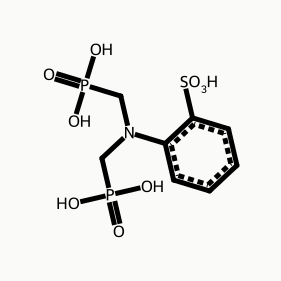 O=P(O)(O)CN(CP(=O)(O)O)c1ccccc1S(=O)(=O)O